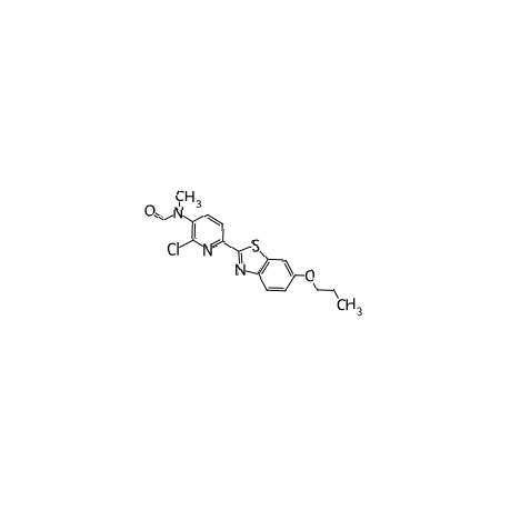 CCCOc1ccc2nc(-c3ccc(N(C)C=O)c(Cl)n3)sc2c1